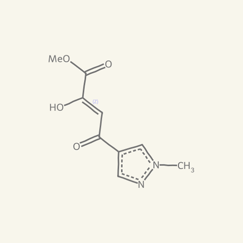 COC(=O)/C(O)=C/C(=O)c1cnn(C)c1